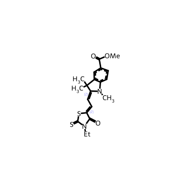 CCN1C(=O)/C(=C/C=C2\N(C)c3ccc(C(=O)OC)cc3C2(C)C)SC1=S